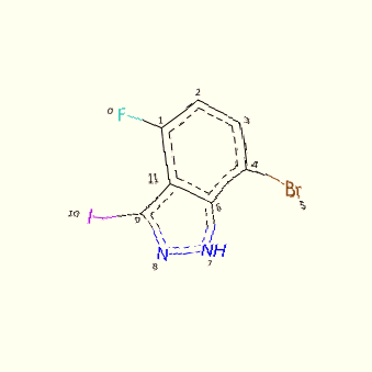 Fc1ccc(Br)c2[nH]nc(I)c12